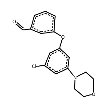 O=Cc1cccc(Oc2cc(Cl)cc(N3CCOCC3)c2)c1